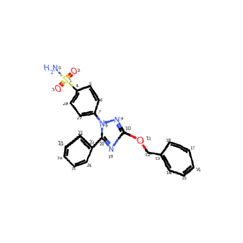 NS(=O)(=O)c1ccc(-n2nc(OCc3ccccc3)nc2-c2ccccc2)cc1